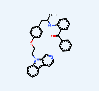 O=C(c1ccccc1)c1ccccc1NC(Cc1ccc(OCCn2c3ccccc3c3ccncc32)cc1)C(=O)O